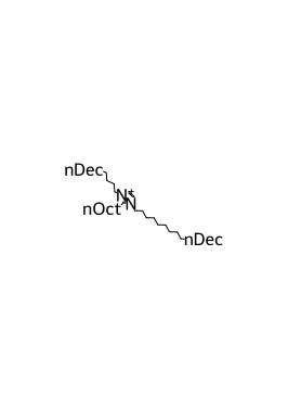 CCCCCCCCCCCCCCCCCCCn1cc[n+](CCCCCCCCCCCCCC)c1CCCCCCCC